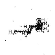 CCCCCCCCCCCCN(CC)CCCN(C)CCCOC1OC(COC(C)=O)C(OC(C)=O)C(OC(C)=O)C1OC(C)=O